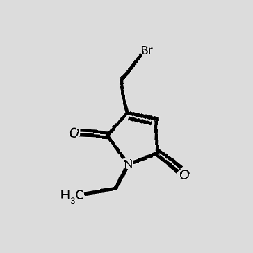 CCN1C(=O)C=C(CBr)C1=O